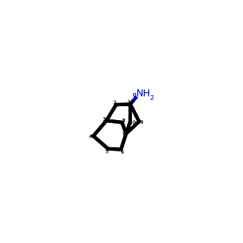 NC12CC3CCCC(C3)(C1)C2